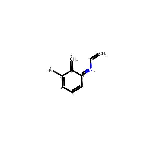 C=C/N=C1/C=CC=C(C(C)(C)C)C1=C